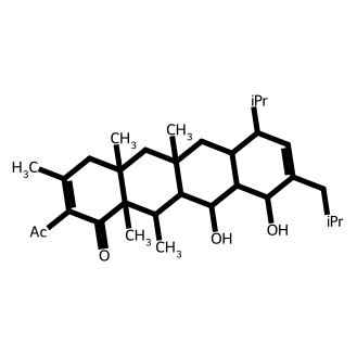 CC(=O)C1=C(C)CC2(C)CC3(C)CC4C(C(C)C)C=C(CC(C)C)C(O)C4C(O)C3C(C)C2(C)C1=O